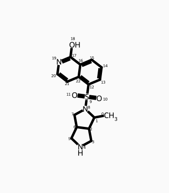 CC1C2CNCC2CN1S(=O)(=O)c1cccc2c(O)nccc12